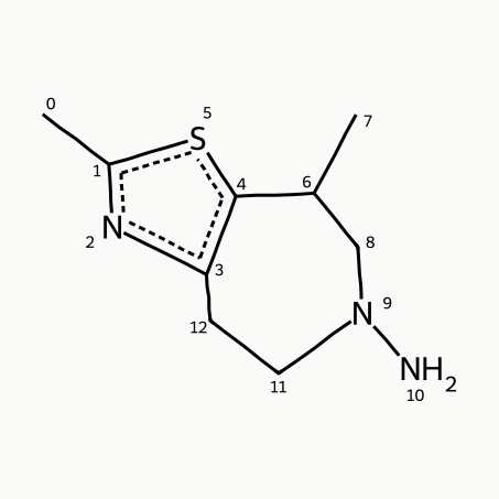 Cc1nc2c(s1)C(C)CN(N)CC2